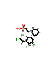 FC(F)=C(F)c1cccc(F)c1F.O=S(=O)(O)C=Cc1ccccc1